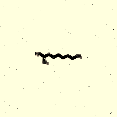 CCSCCCSC(C)C